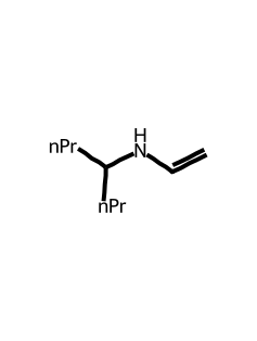 C=CNC(CCC)CCC